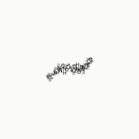 Cc1c(NC(=O)c2nc3c(n2C)CCN(CCC24CCC(CC2)C4)C3)cccc1-c1cccc(NC(=O)c2nc3c(n2C)CCN(C2CCOCC2)C3)c1Cl